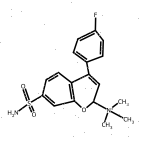 C[N+](C)(C)C1C=C(c2ccc(F)cc2)c2ccc(S(N)(=O)=O)cc2O1